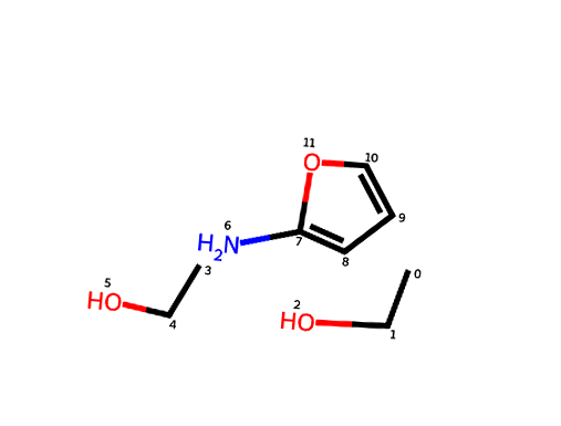 CCO.CCO.Nc1ccco1